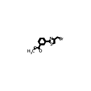 COC(=O)c1cccc(-c2nc(CBr)cs2)c1